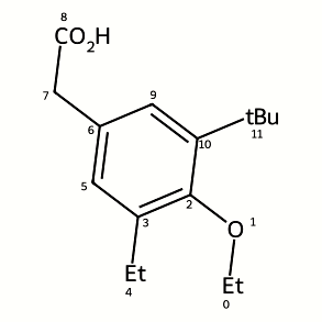 CCOc1c(CC)cc(CC(=O)O)cc1C(C)(C)C